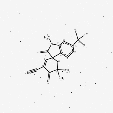 CN1C(=O)C2(C=C(C#N)C(=O)C(C)(C)C2)c2ccc(C(F)(F)F)cc21